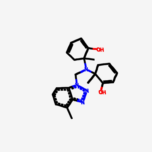 Cc1cccc2c1nnn2CN(C1(C)CC=CC=C1O)C1(C)CC=CC=C1O